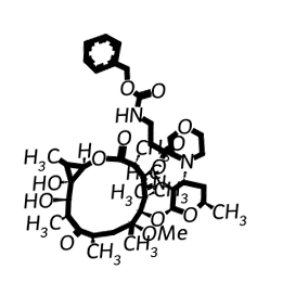 CO[C@@]1(C)C[C@@H](C)C(=O)[C@H](C)[C@@H](O)[C@@]2(O)C(C)[C@H]2OC(=O)[C@H](C)[C@@H](OC(=O)CCNC(=O)OCc2ccccc2)[C@H](C)[C@H]1O[C@@H]1O[C@H](C)C[C@@H](N2CCOCC2)[C@@H]1N(C)C